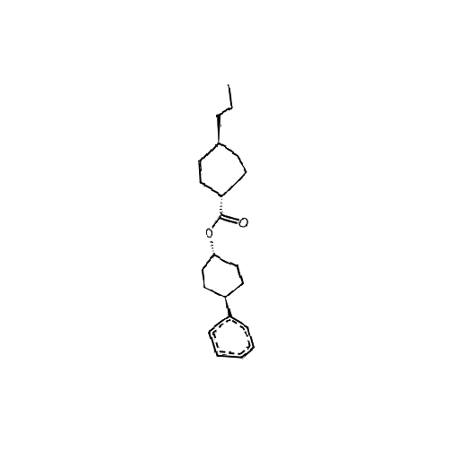 CCC[C@H]1CC[C@H](C(=O)O[C@H]2CC[C@H](c3ccccc3)CC2)CC1